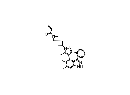 C=CC(=O)N1CC2(CC(n3nc(-c4ccccc4)c(-c4c(C)c(C)cc5[nH]nc(C)c45)c3C)C2)C1